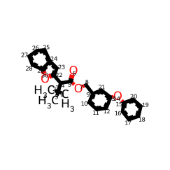 CC(C)(C)C(C(=O)OCc1cccc(Oc2ccccc2)c1)c1cc2ccccc2o1